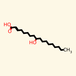 CCCCCCCCCC(O)CCCCCC=CC(=O)O